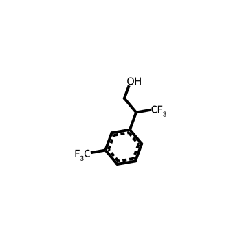 OCC(c1cccc(C(F)(F)F)c1)C(F)(F)F